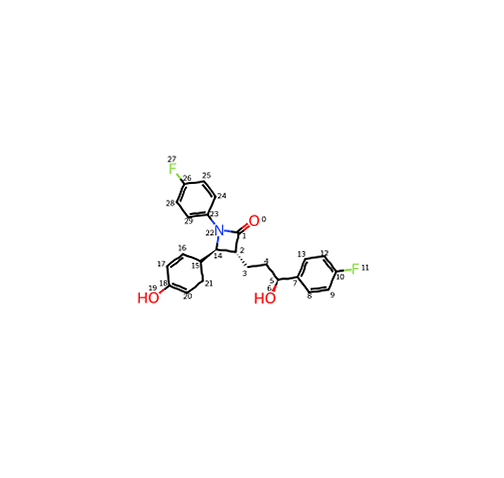 O=C1[C@H](CC[C@H](O)c2ccc(F)cc2)[C@@H](C2C=CC(O)=CC2)N1c1ccc(F)cc1